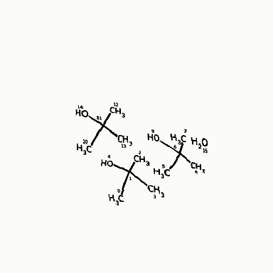 CC(C)(C)O.CC(C)(C)O.CC(C)(C)O.O